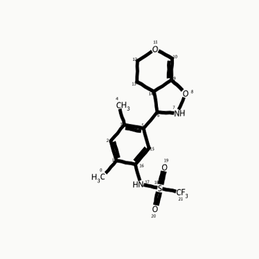 Cc1cc(C)c(C2NOC3=COCCC32)cc1NS(=O)(=O)C(F)(F)F